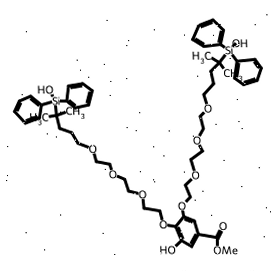 COC(=O)c1cc(O)c(OCCOCCOCCOCCCC(C)(C)[Si](O)(c2ccccc2)c2ccccc2)c(OCCOCCOCCOCCCC(C)(C)[Si](O)(c2ccccc2)c2ccccc2)c1